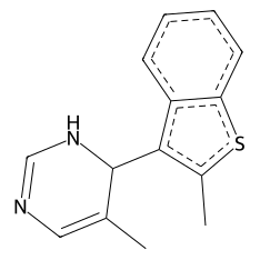 CC1=CN=CNC1c1c(C)sc2ccccc12